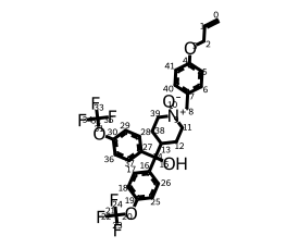 C=CCOc1ccc(C[N+]2([O-])CCC(C(O)(c3ccc(OC(F)(F)F)cc3)c3ccc(OC(F)(F)F)cc3)CC2)cc1